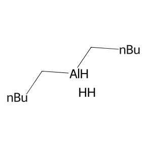 CCCC[CH2][AlH][CH2]CCCC.[HH]